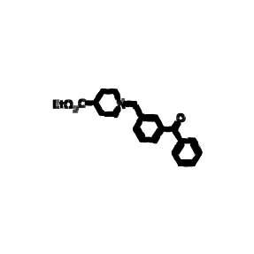 CCOC(=O)C1CCN(Cc2cccc(C(=O)c3ccccc3)c2)CC1